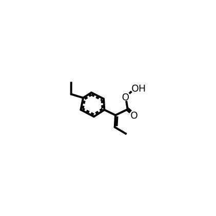 CC=C(C(=O)OO)c1ccc(CC)cc1